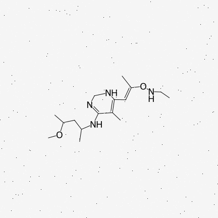 CCNO/C(C)=C/C1=C(C)C(NC(C)CC(C)OC)=NCN1